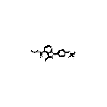 CCOC(=O)c1ccnc2c1c(I)nn2-c1ccc(OC(F)(F)F)cc1